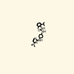 Cc1cccc(C(C)C)c1NC(=O)NC1CCC(Nc2nccc(N(C)C)n2)CC1